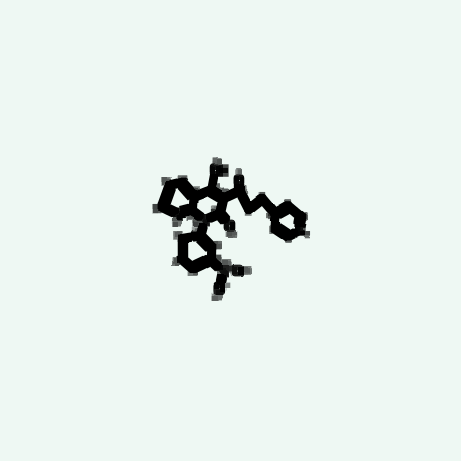 O=C(CCc1ccncc1)c1c(O)c2cccnc2n(-c2cccc([N+](=O)[O-])c2)c1=O